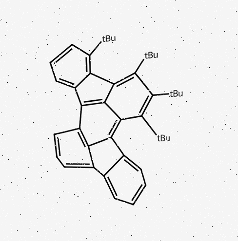 CC(C)(C)c1c(C(C)(C)C)c2c3c(C(C)(C)C)cccc3c3c4cccc5c6ccccc6c(c(c1C(C)(C)C)c23)c54